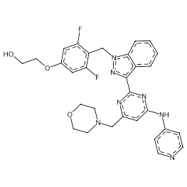 OCCOc1cc(F)c(Cn2nc(-c3nc(CN4CCOCC4)cc(Nc4ccncc4)n3)c3ccccc32)c(F)c1